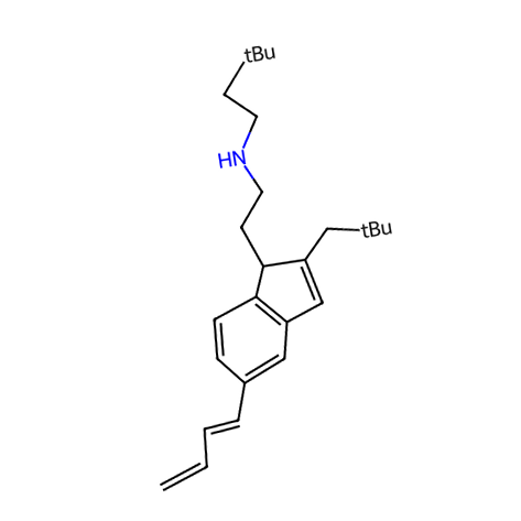 C=C/C=C/c1ccc2c(c1)C=C(CC(C)(C)C)C2CCNCCC(C)(C)C